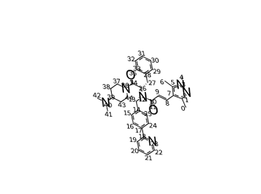 Cc1nn(C)c(C)c1/C=C/C(=O)N(Cc1ccc(-c2ccccn2)cc1)[C@@H](Cc1ccccc1)C(=O)N1CCC(N(C)C)CC1